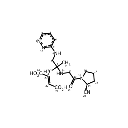 CC(C)(CNc1cccnn1)NCC(=O)N1CCC[C@H]1C#N.O=C(O)/C=C/C(=O)O